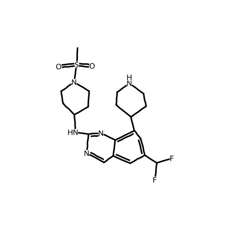 CS(=O)(=O)N1CCC(Nc2ncc3cc(C(F)F)cc(C4CCNCC4)c3n2)CC1